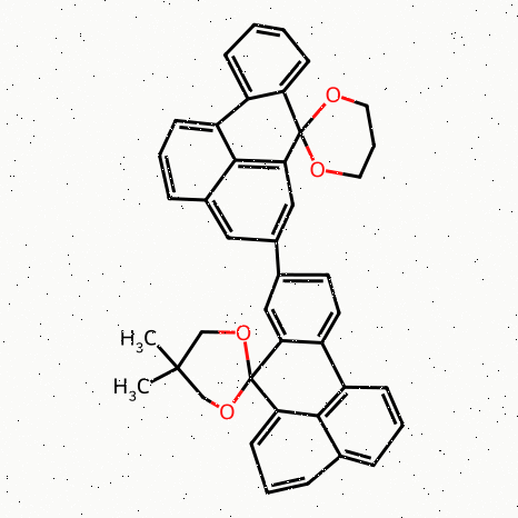 CC1(C)COC2(OC1)c1cc(-c3cc4c5c(cccc5c3)-c3ccccc3C43OCCCO3)ccc1-c1cccc3cccc2c13